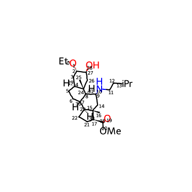 CCO[C@H]1C[C@@H]2CC[C@@H]3[C@H]([C@H](NCCC(C)C)C[C@]4(C)[C@@H](C(=O)OC)CC[C@@H]34)[C@@]2(C)C[C@@H]1O